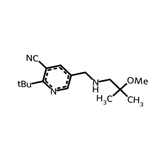 COC(C)(C)CNCc1cnc(C(C)(C)C)c(C#N)c1